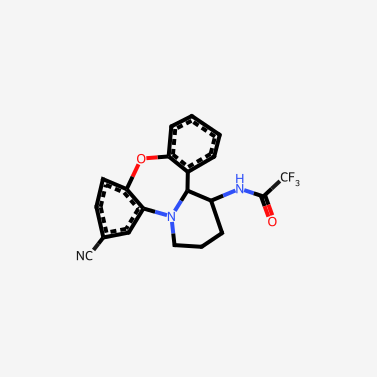 N#Cc1ccc2c(c1)N1CCCC(NC(=O)C(F)(F)F)C1c1ccccc1O2